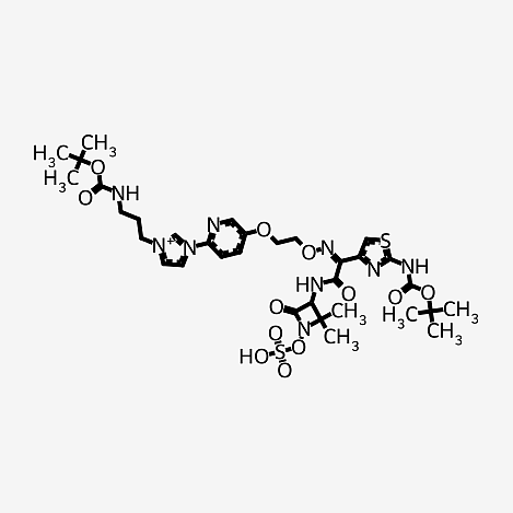 CC(C)(C)OC(=O)NCCC[n+]1ccn(-c2ccc(OCCON=C(C(=O)NC3C(=O)N(OS(=O)(=O)O)C3(C)C)c3csc(NC(=O)OC(C)(C)C)n3)cn2)c1